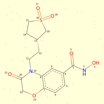 O=C(NO)c1ccc2c(c1)N(CC[C@@H]1CCS(=O)(=O)C1)C(=O)CO2